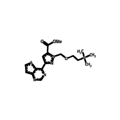 COC(=O)c1cc(-c2ncnc3ccsc23)nn1COCC[Si](C)(C)C